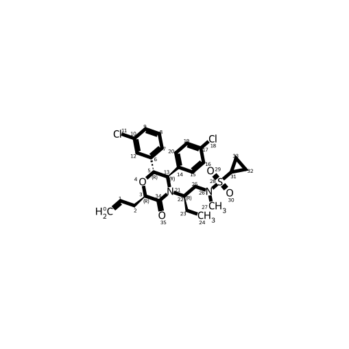 C=CC[C@H]1O[C@H](c2cccc(Cl)c2)[C@@H](c2ccc(Cl)cc2)N([C@H](CC)CN(C)S(=O)(=O)C2CC2)C1=O